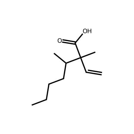 C=CC(C)(C(=O)O)C(C)CCCC